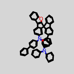 c1ccc(-c2ccc(N(c3ccccc3)c3ccc4c(c3)C3(c5ccccc5-c5ccc(-c6ccc(N(c7ccccc7)c7ccccc7)cc6)cc53)c3oc5ccccc5c3-4)cc2)cc1